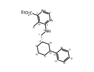 CCOC(=O)c1ncnc(NC[C@H]2CCCC(c3ccccc3)C2)c1C